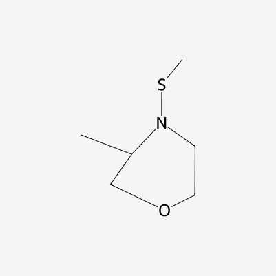 CSN1CCOCC1C